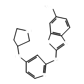 COc1ccc2nc(Nc3cc(NC4CCNC4)ccn3)sc2c1